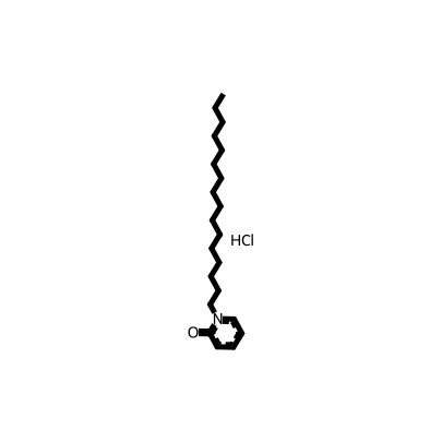 CCCCCCCCCCCCCCCCn1ccccc1=O.Cl